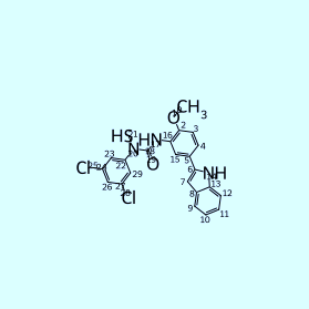 COc1ccc(-c2cc3ccccc3[nH]2)cc1NC(=O)N(S)c1cc(Cl)cc(Cl)c1